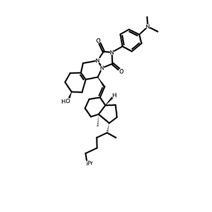 CC(C)CCCC(C)[C@H]1CC[C@H]2/C(=C/[C@H]3C4=C(CC[C@H](O)C4)Cn4c(=O)n(-c5ccc(N(C)C)cc5)c(=O)n43)CCC[C@]12C